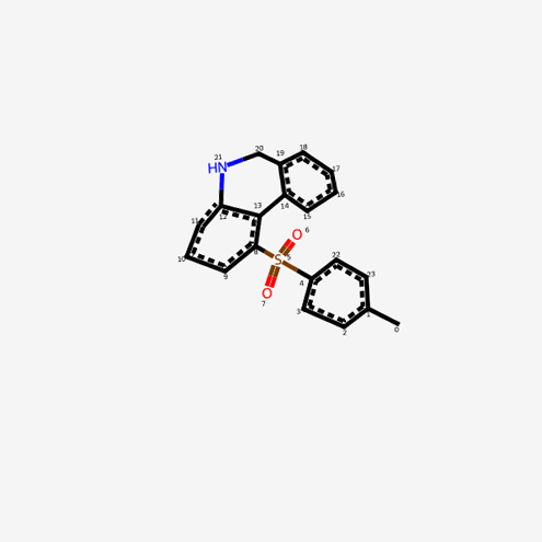 Cc1ccc(S(=O)(=O)c2cccc3c2-c2ccccc2CN3)cc1